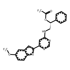 O=C(O[C@@H](CNc1cc(-c2cc3cc(OC(F)(F)F)ccc3s2)ncn1)c1ccccc1)C(F)(F)F